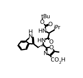 Cc1oc([C@@H](Cc2c[nH]c3ccccc23)NC(=O)C(CC(C)C)NC(=O)OC(C)(C)C)nc1C(=O)O